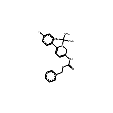 COC(C=O)(OC)N1CC(NC(=O)OCc2ccccc2)=CC=C1c1ccc(F)cc1